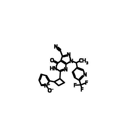 CC(c1ccc(C(F)(F)F)nc1)n1nc(C#N)c2c(=O)[nH]c(C3CCC3c3cccc[n+]3[O-])nc21